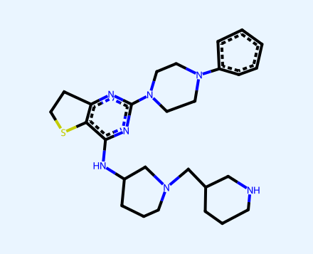 c1ccc(N2CCN(c3nc4c(c(NC5CCCN(CC6CCCNC6)C5)n3)SCC4)CC2)cc1